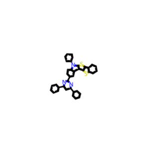 c1ccc(-c2cc(-c3ccccc3)nc(-c3ccc4c(c3)c3c5sc6ccccc6c5sc3n4-c3ccccc3)n2)cc1